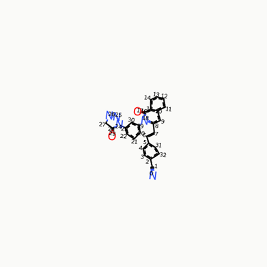 N#Cc1ccc(/C=C/c2cc3ccccc3c(=O)n2-c2cccc(N3N=NCC3=O)c2)cc1